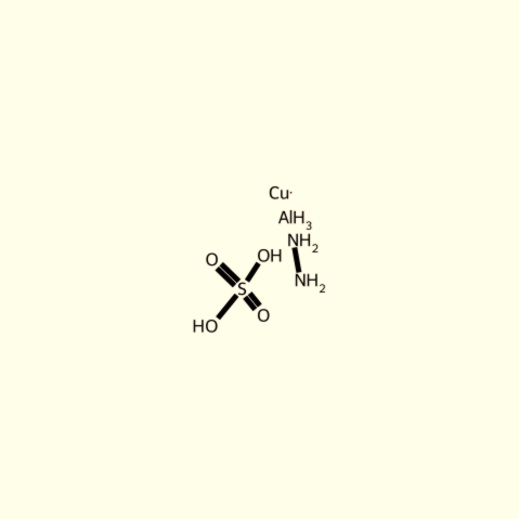 NN.O=S(=O)(O)O.[AlH3].[Cu]